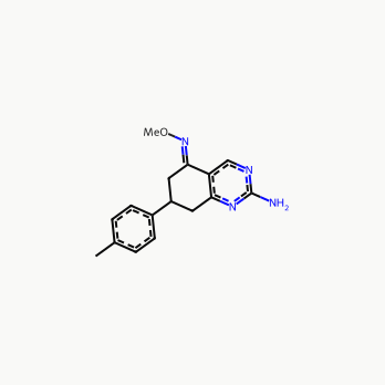 CON=C1CC(c2ccc(C)cc2)Cc2nc(N)ncc21